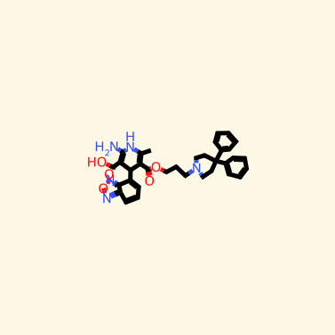 CC1=C(C(=O)OCCCN2CCC(c3ccccc3)(c3ccccc3)CC2)C(c2cccc3nonc23)C(C(=O)O)=C(N)N1